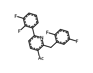 CC(=O)c1ccc(-c2cccc(F)c2F)nc1Cc1cc(F)ccc1F